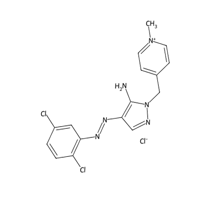 C[n+]1ccc(Cn2ncc(/N=N/c3cc(Cl)ccc3Cl)c2N)cc1.[Cl-]